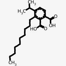 CCCCCCCCCCc1c(C(C)C)ccc(C(=O)O)c1C(=O)O